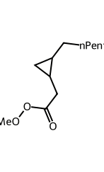 CCCCCCC1CC1CC(=O)OOC